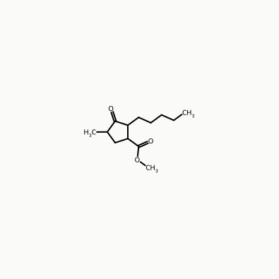 CCCCCC1C(=O)C(C)CC1C(=O)OC